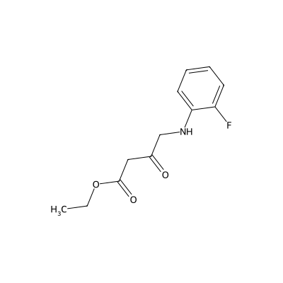 CCOC(=O)CC(=O)CNc1ccccc1F